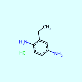 CCc1cc(N)ccc1N.Cl